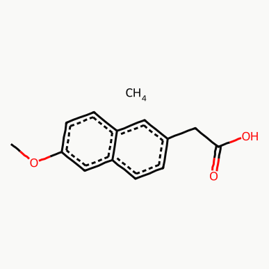 C.COc1ccc2cc(CC(=O)O)ccc2c1